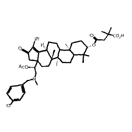 CC(=O)O[C@H](CN(C)Cc1ccc(Cl)cc1)C12CC[C@]3(C)[C@H](CCC4[C@@]5(C)CC[C@H](OC(=O)CC(C)(C)C(=O)O)C(C)(C)C5CC[C@]43C)C1=C(C(C)C)C(=O)C2